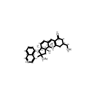 CC(=O)OC1(C)C[C@H]2[C@@H]3OC4=C(C=C3C=C[C@]2(C)[C@H]1c1cccc2cnccc12)C(=O)CC(CO)C4